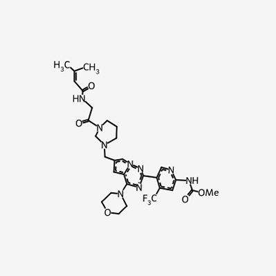 COC(=O)Nc1cc(C(F)(F)F)c(-c2nc(N3CCOCC3)c3cc(CN4CCCN(C(=O)CNC(=O)C=C(C)C)C4)cn3n2)cn1